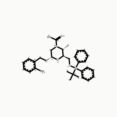 C[C@@H]1[C@@H](CO[Si](c2ccccc2)(c2ccccc2)C(C)(C)C)O[C@H](CCc2ccccc2N)CN1C(=O)O